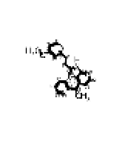 COc1ccnc(CCc2nc3c(C(C)c4ccccn4)ccnc3[nH]2)c1